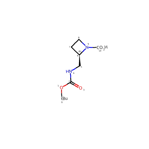 CC(C)(C)OC(=O)NC[C@H]1CCN1C(=O)O